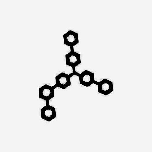 c1ccc(-c2ccc(N(c3ccc(-c4ccccc4)cc3)c3ccc(-c4cccc(-c5ccccc5)c4)cc3)cc2)cc1